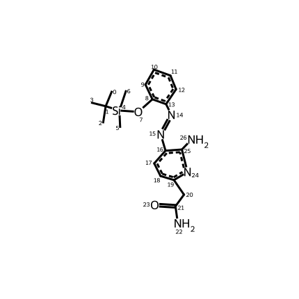 CC(C)(C)[Si](C)(C)Oc1ccccc1/N=N/c1ccc(CC(N)=O)nc1N